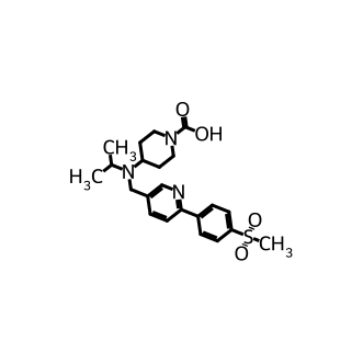 CC(C)N(Cc1ccc(-c2ccc(S(C)(=O)=O)cc2)nc1)C1CCN(C(=O)O)CC1